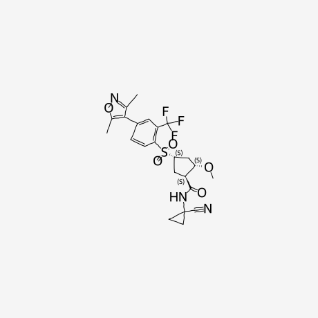 CO[C@H]1C[C@@H](S(=O)(=O)c2ccc(-c3c(C)noc3C)cc2C(F)(F)F)C[C@@H]1C(=O)NC1(C#N)CC1